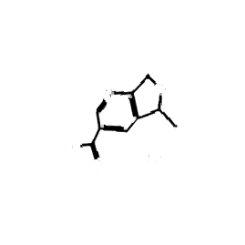 CC1OCc2ncc(C(=O)[O-])cc21.[Li+]